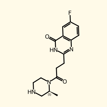 C[C@H]1CNCCN1C(=O)CCc1nc2ccc(F)cc2c(=O)[nH]1